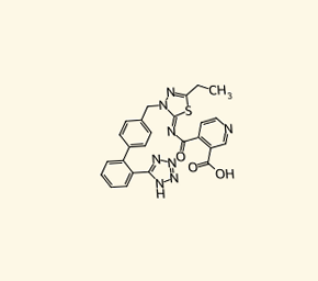 CCc1nn(Cc2ccc(-c3ccccc3-c3nnn[nH]3)cc2)c(=NC(=O)c2ccncc2C(=O)O)s1